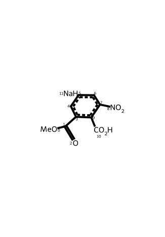 COC(=O)c1cccc([N+](=O)[O-])c1C(=O)O.[NaH]